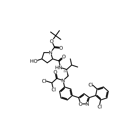 CC(C)[C@@H](CN(C(=O)C(Cl)Cl)c1cccc(-c2cc(-c3c(Cl)cccc3Cl)no2)c1)NC(=O)C1CC(O)CN1C(=O)OC(C)(C)C